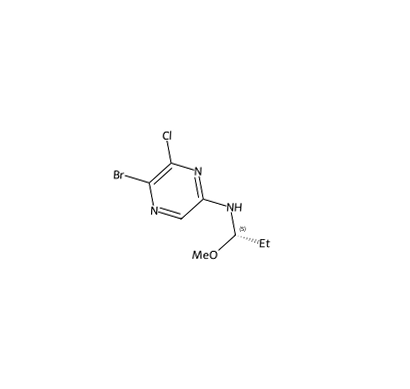 CC[C@@H](Nc1cnc(Br)c(Cl)n1)OC